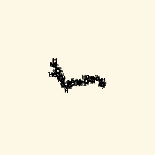 CC12CC3CC(Cn4cc(-c5ccc(-c6cnc(N7CCC(NC8C9CC%10CC(C9)CC8C%10)C7)nn6)c(O)c5)cn4)(C1)CC(NC1CCN(c4ncc(-c5ccc(-c6cn[nH]c6)cc5O)nn4)C1)(C3)C2